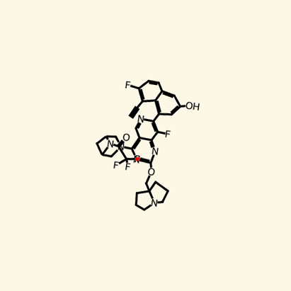 C#Cc1c(F)ccc2cc(O)cc(-c3ncc4c(N5CC6CC(C5)N6C(=O)C(F)(F)F)nc(OCC56CCCN5CCC6)nc4c3F)c12